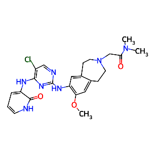 COc1cc2c(cc1Nc1ncc(Cl)c(Nc3ccc[nH]c3=O)n1)CCN(CC(=O)N(C)C)CC2